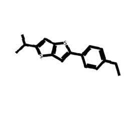 CCc1ccc(-c2cc3sc(C(C)C)cc3s2)cc1